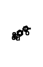 CC1CCN(c2ccc(S(=O)(=O)Cl)cc2)C1=O